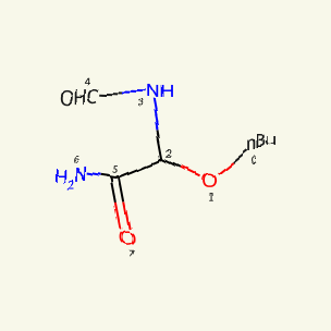 CCCCOC(NC=O)C(N)=O